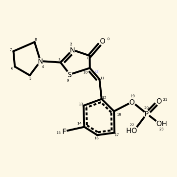 O=C1N=C(N2CCCC2)S/C1=C\c1cc(F)ccc1OP(=O)(O)O